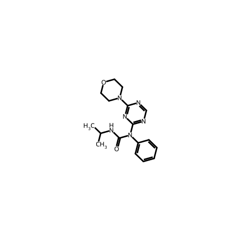 CC(C)NC(=O)N(c1ccccc1)c1ncnc(N2CCOCC2)n1